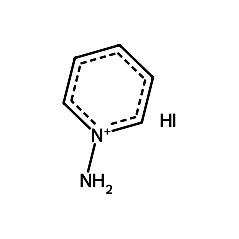 I.N[n+]1ccccc1